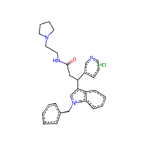 Cl.O=C(CC(c1cccnc1)c1cn(Cc2ccccc2)c2ccccc12)NCCN1CCCC1